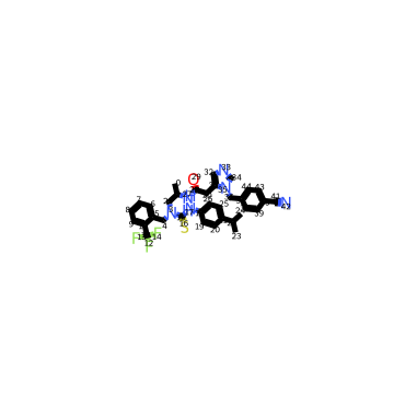 CC(CN(Cc1ccccc1C(F)(F)F)C(=S)Nc1ccc(C(C)C)cc1)NC(=O)Cc1cncn1Cc1ccc(C#N)cc1